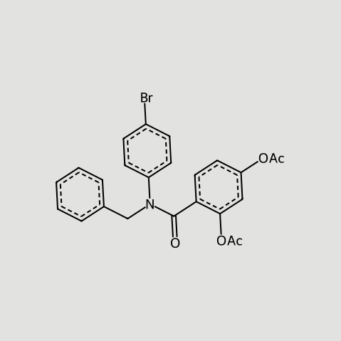 CC(=O)Oc1ccc(C(=O)N(Cc2ccccc2)c2ccc(Br)cc2)c(OC(C)=O)c1